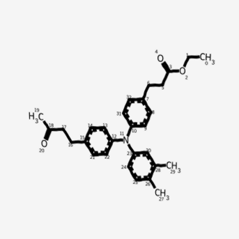 CCOC(=O)CCc1ccc(N(c2ccc(CCC(C)=O)cc2)c2ccc(C)c(C)c2)cc1